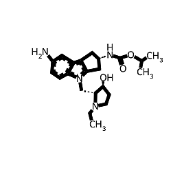 CCN1CC[C@H](O)[C@H]1Cn1c2c(c3cc(N)ccc31)C[C@H](NC(=O)OC(C)C)C2